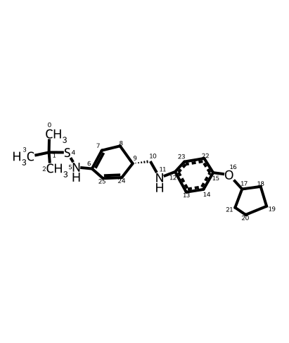 CC(C)(C)SNC1=CC[C@H](CNc2ccc(OC3CCCC3)cc2)C=C1